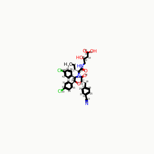 CCC[C@H](C(=O)NC[C@@H](O)CC(=O)O)N1C(=O)[C@H](Cc2ccc(C#N)cc2)O[C@@H](c2ccc(Cl)cc2)[C@H]1c1ccc(Cl)cc1